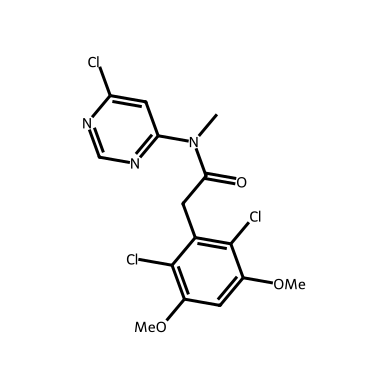 COc1cc(OC)c(Cl)c(CC(=O)N(C)c2cc(Cl)ncn2)c1Cl